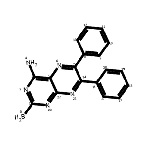 Bc1nc(N)c2nc(-c3ccccc3)c(-c3ccccc3)nc2n1